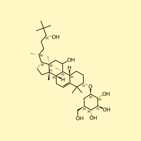 C[C@H](CC[C@@H](O)C(C)(C)C)[C@H]1CC[C@@]2(C)[C@H]3CC=C4[C@@H](CC[C@H](O[C@@H]5C[C@H](CO)[C@@H](O)[C@H](O)[C@H]5O)C4(C)C)[C@]3(C)C(O)C[C@]12C